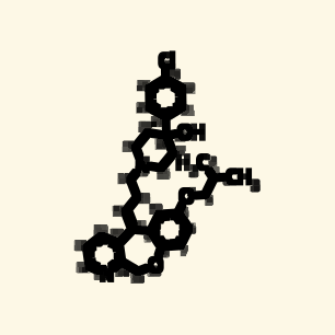 CC(C)COc1ccc2c(c1)C(=CCCN1CCC(O)(c3ccc(Cl)cc3)CC1)c1cccnc1CO2